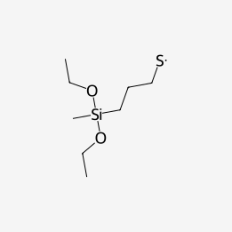 CCO[Si](C)(CCC[S])OCC